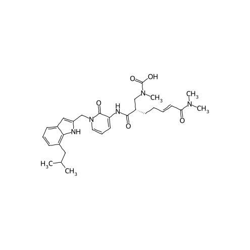 CC(C)Cc1cccc2cc(Cn3cccc(NC(=O)[C@@H](CC/C=C/C(=O)N(C)C)CN(C)C(=O)O)c3=O)[nH]c12